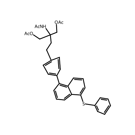 CC(=O)NC(CCc1ccc(-c2cccc3c(Sc4ccccc4)cccc23)cc1)(COC(C)=O)COC(C)=O